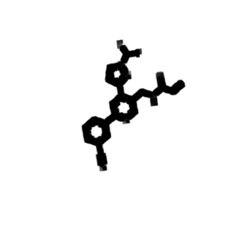 C=CC(=O)NCc1cnc(-c2cccc(C#N)c2)cc1-c1ccn(C(F)F)n1